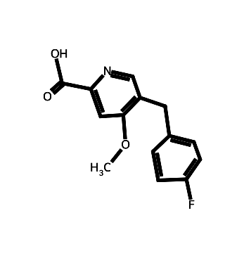 COc1cc(C(=O)O)ncc1Cc1ccc(F)cc1